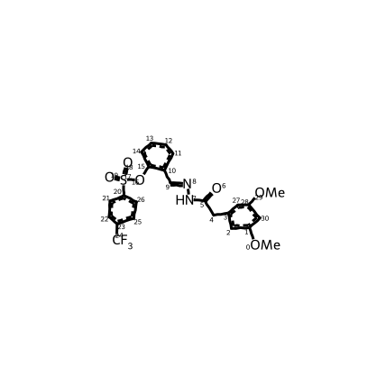 COc1cc(CC(=O)NN=Cc2ccccc2OS(=O)(=O)c2ccc(C(F)(F)F)cc2)cc(OC)c1